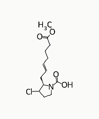 COC(=O)CCCC=CC[C@@H]1C(Cl)CCN1C(=O)O